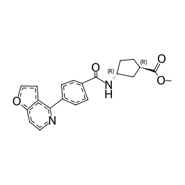 COC(=O)[C@@H]1CC[C@@H](NC(=O)c2ccc(-c3nccc4occc34)cc2)C1